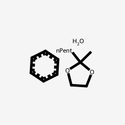 CCCCCC1(C)OCCO1.O.c1ccccc1